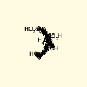 Nc1c(N=Nc2ccc(S(=O)(=O)CCOS(=O)(=O)O)cc2)c(S(=O)(=O)O)cc2cc(SOOO)c(N=Nc3ccc(SOOCCS(=O)OOO)cc3)c(O)c12